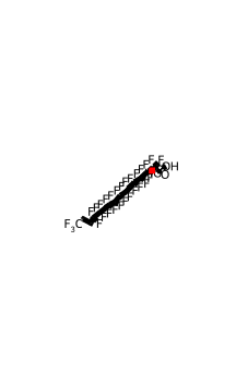 O=P(O)(O)C(F)(F)C(F)(F)C(F)(F)C(F)(F)C(F)(F)C(F)(F)C(F)(F)C(F)(F)C(F)(F)C(F)(F)C(F)(F)C(F)(F)C(F)(F)CCC(F)(F)F